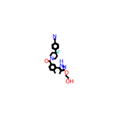 Cc1ccc(C(=O)N2CCC(F)(c3ccc(C#N)cc3)CC2)cc1-c1[nH]nc(OCCO)c1C